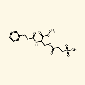 COC(=O)C(COC(=O)CCS(=O)(=O)O)NC(=O)OCc1ccccc1